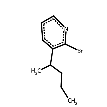 CCCC(C)c1cccnc1Br